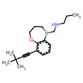 CCCNCN1CCCOc2c(C#CC(C)(C)C)cccc21